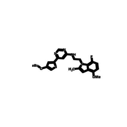 CCCCOc1csc(-c2cc(NCCn3c(C)cc4c(OC)ccc(F)c43)ncn2)c1